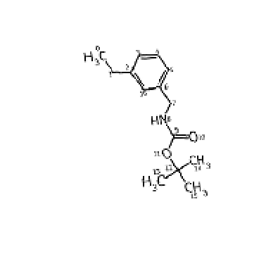 CCc1cccc(CNC(=O)OC(C)(C)C)c1